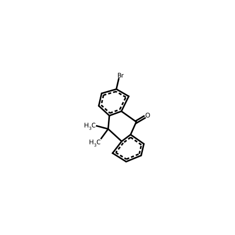 CC1(C)c2ccccc2C(=O)c2cc(Br)ccc21